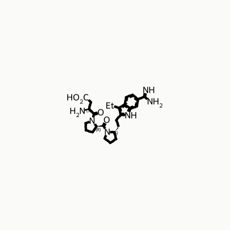 CCc1c(CC[C@@H]2CCCN2C(=O)[C@H]2CCCN2C(=O)[C@@H](N)CC(=O)O)[nH]c2cc(C(=N)N)ccc12